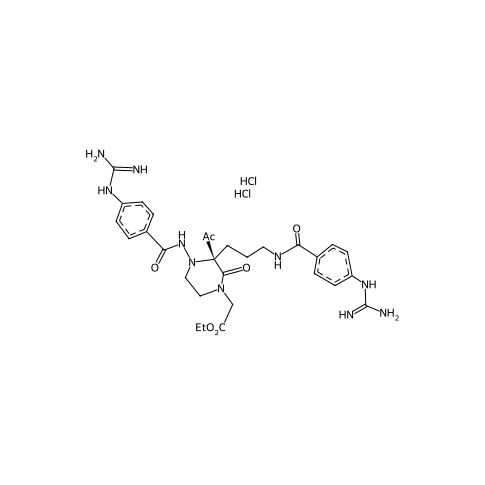 CCOC(=O)CN1CCN(NC(=O)c2ccc(NC(=N)N)cc2)[C@@](CCCNC(=O)c2ccc(NC(=N)N)cc2)(C(C)=O)C1=O.Cl.Cl